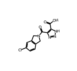 O=C(O)c1[nH]nnc1C(=O)N1Cc2ccc(Cl)cc2C1